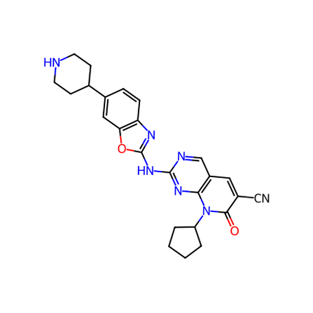 N#Cc1cc2cnc(Nc3nc4ccc(C5CCNCC5)cc4o3)nc2n(C2CCCC2)c1=O